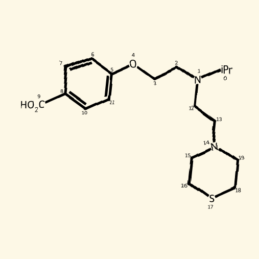 CC(C)N(CCOc1ccc(C(=O)O)cc1)CCN1CCSCC1